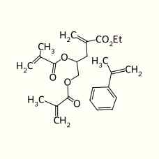 C=C(C)C(=O)OCC(CC(=C)C(=O)OCC)OC(=O)C(=C)C.C=C(C)c1ccccc1